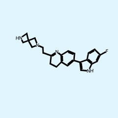 Fc1ccc2c(-c3ccc4c(c3)CCC(CCN3CC5(CNC5)C3)=N4)c[nH]c2c1